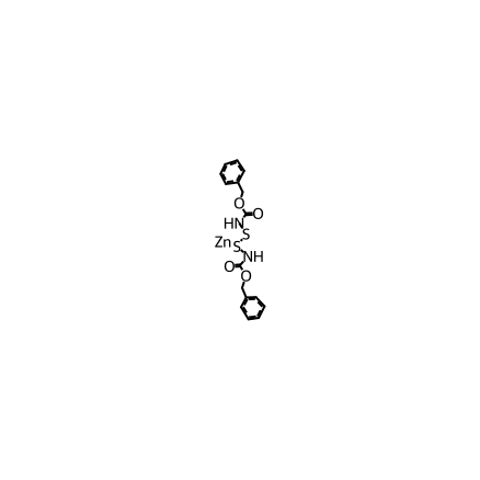 O=C(NSSNC(=O)OCc1ccccc1)OCc1ccccc1.[Zn]